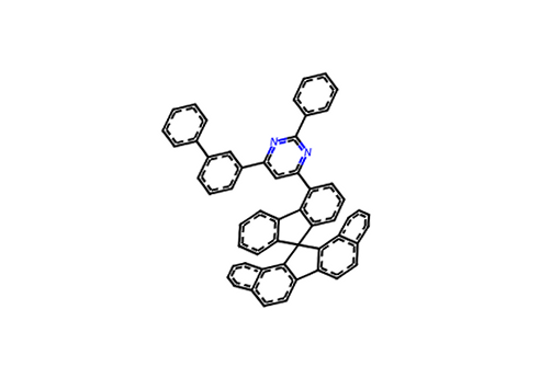 c1ccc(-c2cccc(-c3cc(-c4cccc5c4-c4ccccc4C54c5c(ccc6ccccc56)-c5ccc6ccccc6c54)nc(-c4ccccc4)n3)c2)cc1